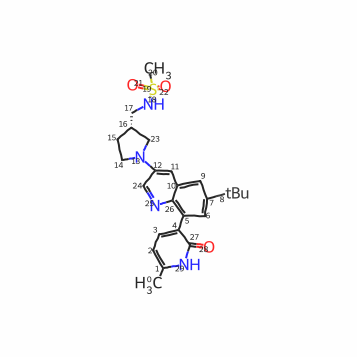 Cc1ccc(-c2cc(C(C)(C)C)cc3cc(N4CC[C@H](CNS(C)(=O)=O)C4)cnc23)c(=O)[nH]1